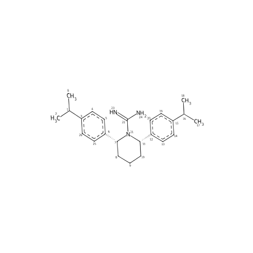 CC(C)c1ccc([C@H]2CCC[C@@H](c3ccc(C(C)C)cc3)N2C(=N)N)cc1